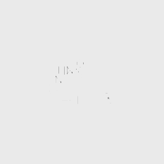 Cl.O=C(NCCN1CCOCC1)SCCCCC[C@H]1CCSS1